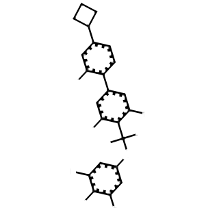 Fc1cc(C2CCC2)ccc1-c1cc(F)c(C(F)(F)Oc2cc(F)c(F)c(F)c2)c(F)c1